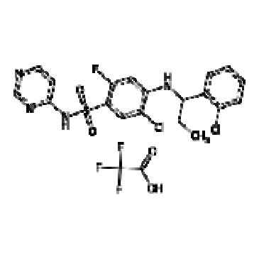 CCC(Nc1cc(F)c(S(=O)(=O)Nc2ccncn2)cc1Cl)c1ccccc1Cl.O=C(O)C(F)(F)F